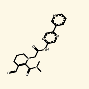 CN(C)C(=O)C1=C(C=O)CCCN1CC(=O)Nc1cnc(-c2cccnc2)cn1